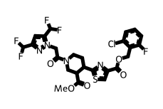 COC(=O)C1CN(C(=O)Cn2nc(C(F)F)cc2C(F)F)CCC1c1nc(C(=O)OCc2c(F)cccc2Cl)cs1